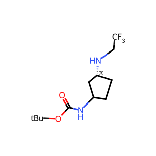 CC(C)(C)OC(=O)NC1CC[C@@H](NCC(F)(F)F)C1